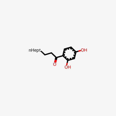 CCCCCCCCCC(=O)c1ccc(O)cc1O